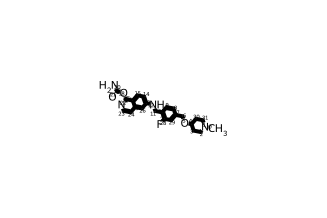 CN1CCC(OCc2ccc(CNc3ccc4c(OC(N)=O)nccc4c3)c(F)c2)CC1